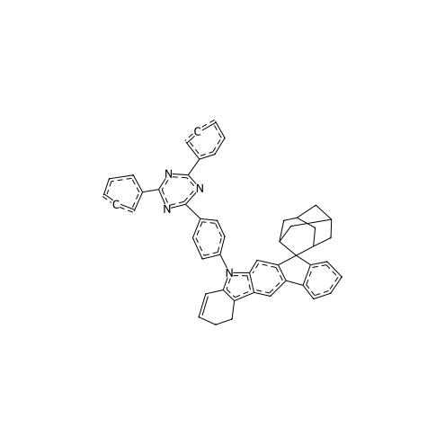 C1=Cc2c(c3cc4c(cc3n2-c2ccc(-c3nc(-c5ccccc5)nc(-c5ccccc5)n3)cc2)C2(c3ccccc3-4)C3CC4CC(C3)CC2C4)CC1